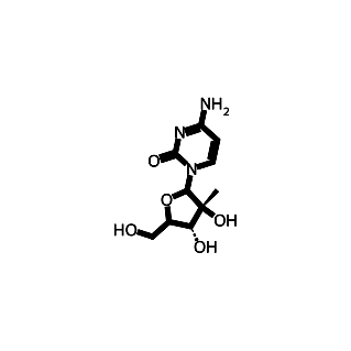 C[C@]1(O)C(n2ccc(N)nc2=O)OC(CO)[C@H]1O